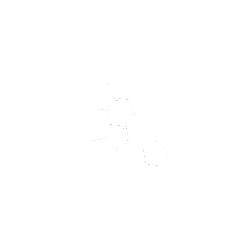 Cc1nn(C2CCCC2)c2ccc(Br)c(F)c12